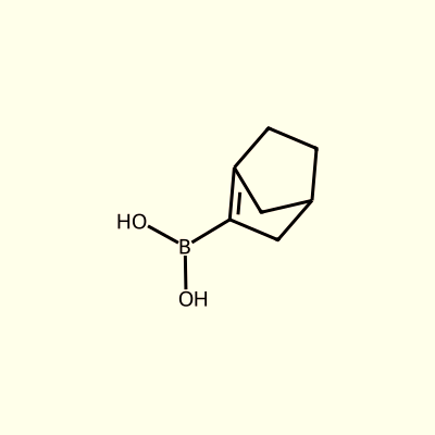 OB(O)C1=C2CCC(C2)C1